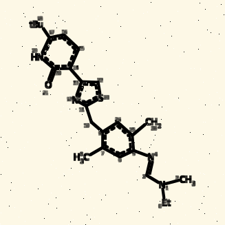 CCN(C)C=Nc1cc(C)c(Cc2nc(-c3ccc(C(C)(C)C)[nH]c3=O)cs2)cc1C